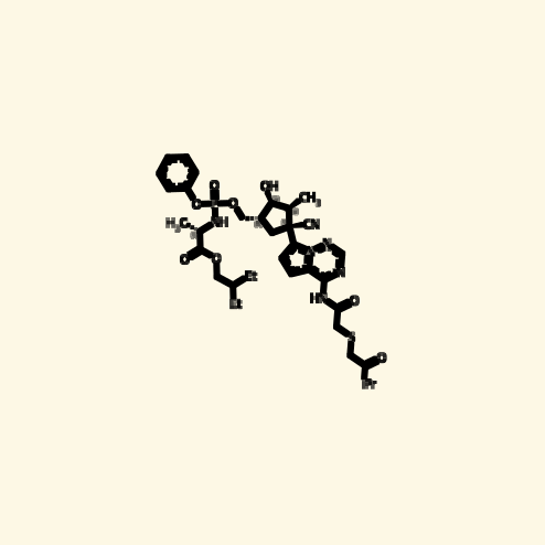 CCC(CC)COC(=O)[C@H](C)NP(=O)(OC[C@H]1C[C@@](C#N)(c2ccc3c(NC(=O)CSCC(=O)C(C)C)ncnn23)[C@H](C)[C@@H]1O)Oc1ccccc1